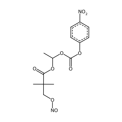 CC(OC(=O)Oc1ccc([N+](=O)[O-])cc1)OC(=O)C(C)(C)CON=O